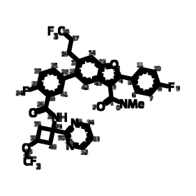 CNC(=O)c1c(-c2ccc(F)cc2)oc2cc(CCC(F)(F)F)c(-c3ccc(F)c(C(=O)NC4(c5ncccn5)CC(OC(F)(F)F)C4)c3)cc12